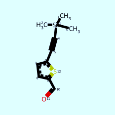 C[Si](C)(C)C#Cc1ccc(C=O)s1